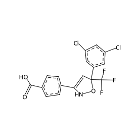 O=C(O)c1ccc(C2=CC(c3cc(Cl)cc(Cl)c3)(C(F)(F)F)ON2)cc1